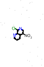 O=[N+]([O-])c1cnc(Cl)c2ncccc12